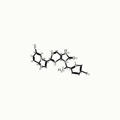 CC(c1ccc(F)cn1)n1c(=O)[nH]c2cnc(-c3cnc4ccc(F)cn34)nc21